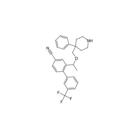 CC(OCC1(c2ccccc2)CCNCC1)c1cc(C#N)ccc1-c1cccc(C(F)(F)F)c1